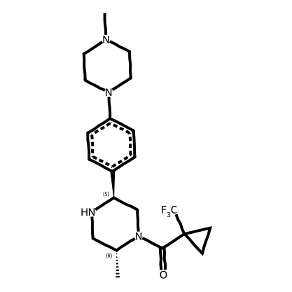 C[C@@H]1CN[C@@H](c2ccc(N3CCN(C)CC3)cc2)CN1C(=O)C1(C(F)(F)F)CC1